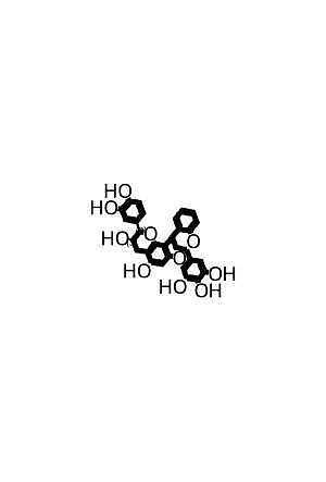 Oc1ccc([C@H]2Oc3c(c(O)cc4c3C3CC(c5cc(O)c(O)c(O)c5)(Oc5ccccc53)O4)C[C@@H]2O)cc1O